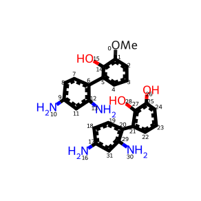 COc1cccc(-c2ccc(N)cc2N)c1O.Nc1ccc(-c2cccc(O)c2O)c(N)c1